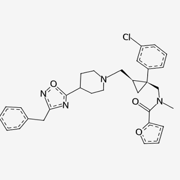 CN(C[C@@]1(c2cccc(Cl)c2)C[C@H]1CN1CCC(c2nc(Cc3ccccc3)no2)CC1)C(=O)c1ccco1